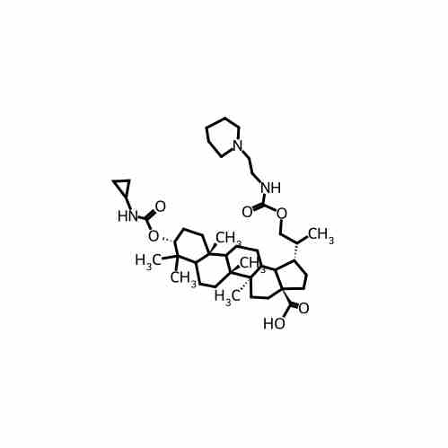 CC(COC(=O)NCCN1CCCCC1)[C@@H]1CC[C@]2(C(=O)O)CC[C@]3(C)C(CCC4[C@@]5(C)CC[C@@H](OC(=O)NC6CC6)C(C)(C)C5CC[C@]43C)C12